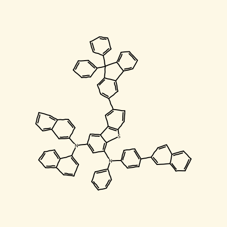 c1ccc(N(c2ccc(-c3ccc4ccccc4c3)cc2)c2cc(N(c3ccc4ccccc4c3)c3cccc4ccccc34)cc3c2sc2ccc(-c4ccc5c(c4)-c4ccccc4C5(c4ccccc4)c4ccccc4)cc23)cc1